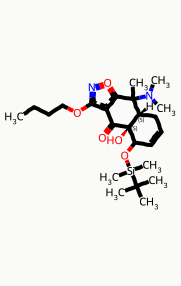 CCCCOc1noc2c1C(=O)[C@@]1(O)C(O[Si](C)(C)C(C)(C)C)C=CC[C@H]1C2(C)N(C)C